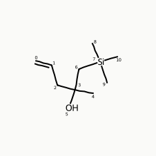 C=CCC(C)(O)C[Si](C)(C)C